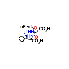 CCCCCC(=O)N[C@@H](CCC(=O)O)C(=O)N[C@@H](Cc1c[nH]c2ccccc12)C(=O)O